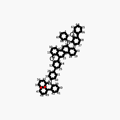 c1ccc(B(c2cc3c4cccc5c4c(cc3c3ccccc23)-c2ccc(-c3ccc(N(c4ccccc4)c4ccccc4-c4ccccc4)cc3)cc2O5)c2cccc3c2oc2ccccc23)cc1